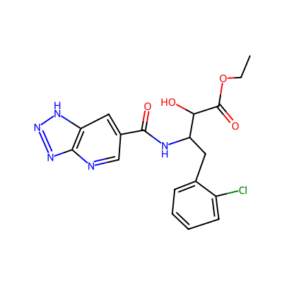 CCOC(=O)C(O)C(Cc1ccccc1Cl)NC(=O)c1cnc2nn[nH]c2c1